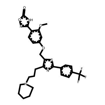 COc1cc(OCc2sc(-c3ccc(C(F)(F)F)cc3)nc2CCCN2CCCCC2)ccc1-c1noc(=O)[nH]1